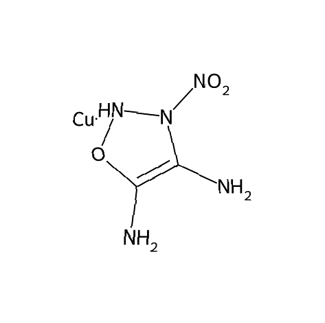 NC1=C(N)N([N+](=O)[O-])NO1.[Cu]